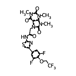 Cn1c(=O)c2c(n(C)c1=O)n(C)c(=O)n2CC(=O)Nc1nc(-c2cc(F)c(OCC(F)(F)F)c(F)c2)cs1